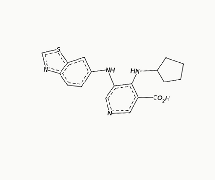 O=C(O)c1cncc(Nc2ccc3ncsc3c2)c1NC1CCCC1